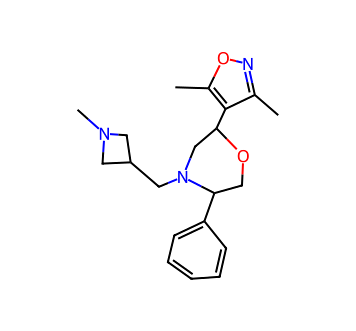 Cc1noc(C)c1C1CN(CC2CN(C)C2)C(c2ccccc2)CO1